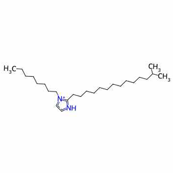 CCCCCCCC[n+]1cc[nH]c1CCCCCCCCCCCCC(C)C